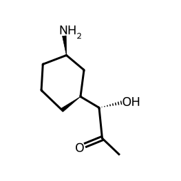 CC(=O)[C@@H](O)[C@H]1CCC[C@@H](N)C1